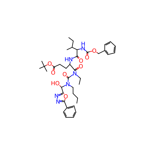 CCCCN(C(=O)N(CC)C(=O)C(CCC(=O)OC(C)(C)C)NC(=O)C(NC(=O)OCc1ccccc1)C(C)CC)C(O)c1nnc(-c2ccccc2)o1